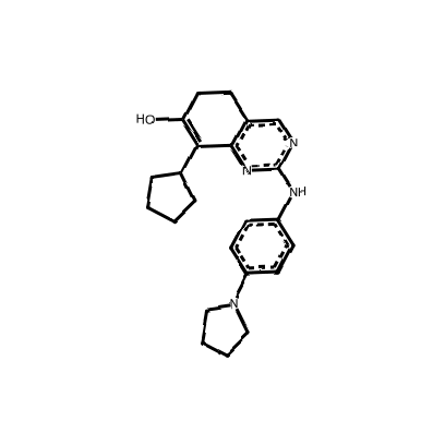 OC1=C(C2CCCC2)c2nc(Nc3ccc(N4CCCC4)cc3)ncc2CC1